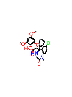 COc1cc(OC)cc(OC(C(=O)O)C2(c3ccccc3)NCC(=O)N(C)c3ccc(Cl)cc32)c1